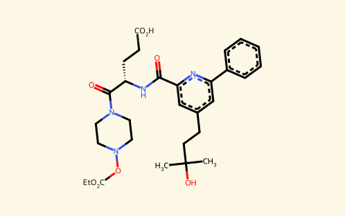 CCOC(=O)ON1CCN(C(=O)[C@H](CCC(=O)O)NC(=O)c2cc(CCC(C)(C)O)cc(-c3ccccc3)n2)CC1